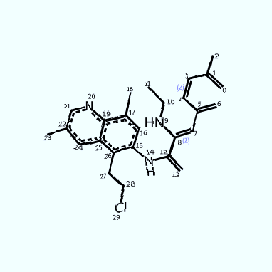 C=C(C)/C=C\C(=C)/C=C(\NCC)C(=C)Nc1cc(C)c2ncc(C)cc2c1CCCl